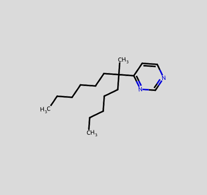 CCCCCCC(C)(CCCCC)c1ccncn1